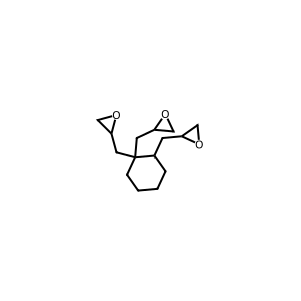 C1CCC(CC2CO2)(CC2CO2)[C](CC2CO2)C1